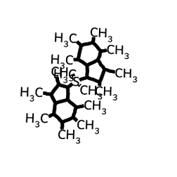 CC1C(C)C(C)C2C(C1C)C(C)C(C)C2S(C)(C)C1C(C)C(C)C2C(C)C(C)C(C)C(C)C21